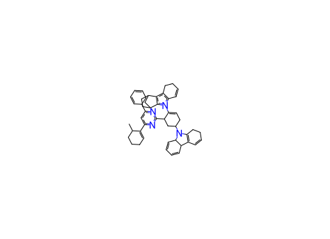 CC1CCCC=C1c1cc(C2C=CC=CC2)nc(C2CC(N3C4=C(C=CCC4)C4C=CC=CC43)CC=C2n2c3c(c4c2C2CCC4C2)CCC=C3)n1